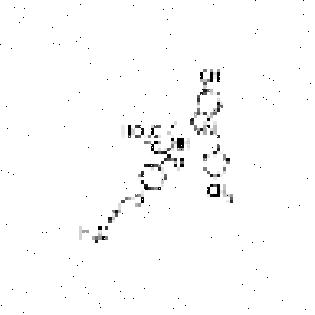 CC#CCOc1ccc(S(=O)(=O)N[C@@H](Cc2cn(Cc3ccc(C)cc3)c3ccc(C#N)cc23)C(=O)O)cc1